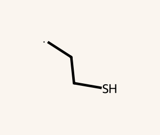 [CH2]CCS